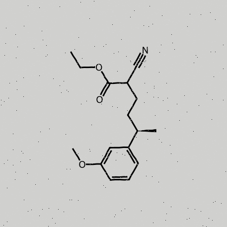 CCOC(=O)C(C#N)CC[C@@H](C)c1cccc(OC)c1